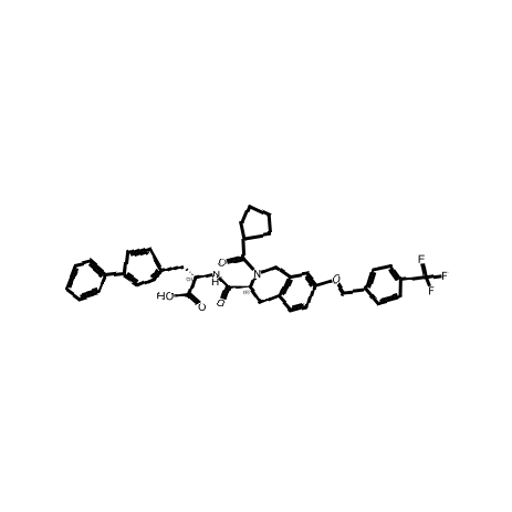 O=C(O)[C@H](Cc1ccc(-c2ccccc2)cc1)NC(=O)[C@@H]1Cc2ccc(OCc3ccc(C(F)(F)F)cc3)cc2CN1C(=O)C1CCCC1